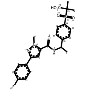 CC(NC(=O)c1cc(-c2ccc(F)cc2)nn1C)c1ccc(S(=O)(=O)C(C)(C)C(=O)O)cc1